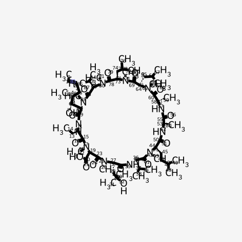 C/C=C/C[C@@H](C)[C@@H](O)[C@H]1C(=O)N[C@H](CC)C(=O)N(C)C(C(=O)O)C(=O)N(C)[C@@H](CC(C)(C)O)C(=O)N[C@H](C(C)C)C(=O)N(C)[C@H](CCC(C)C)C(=O)N[C@H](C)C(=O)N[C@@H](C)C(=O)N(C)[C@@H](CC(C)C)C(=O)N(C)[C@H](CC(C)C)C(=O)N(C)[C@H](C(C)C)C(=O)N1C